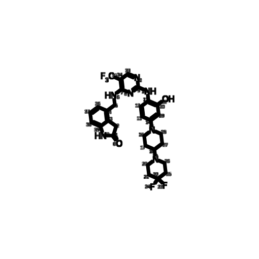 O=C1Cc2c(CNc3nc(Nc4ccc(N5CCC(N6CCC(F)(F)CC6)CC5)cc4O)ncc3C(F)(F)F)cccc2N1